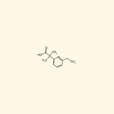 [CH2]Cc1cccc(C(C)(C)C(=O)O)n1